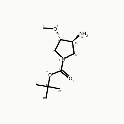 CO[C@H]1CN(C(=O)OC(C)(C)C)C[C@@H]1N